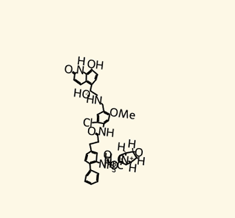 COc1cc(NC(=O)CCc2ccc(-c3ccccc3)c(NC(=O)OC3C[C@@H]4[C@H]5O[C@H]5[C@H](C3)[N+]4(C)C)c2)c(Cl)cc1CNC[C@H](O)c1ccc(O)c2[nH]c(=O)ccc12